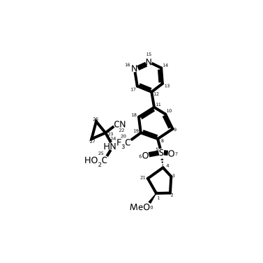 CO[C@@H]1CC[C@@H](S(=O)(=O)c2ccc(-c3ccnnc3)cc2C(F)(F)F)C1.N#CC1(NC(=O)O)CC1